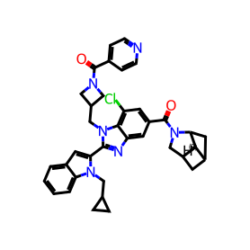 O=C(c1ccncc1)N1CC(Cn2c(-c3cc4ccccc4n3CC3CC3)nc3cc(C(=O)N4CC5CC6CC4[C@H]65)cc(Cl)c32)C1